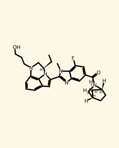 CC[C@@H]1CN(CCCO)c2cccc3cc(-c4nc5cc(C(=O)N6C[C@H]7CC[C@@H]6[C@@H]7N)cc(F)c5n4C)n1c23